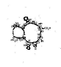 CC(C)C[C@@H]1NC(=O)[C@H](Cc2c[nH]cn2)NC(=O)[C@H](Cc2c[nH]c3ccccc23)NC(=O)[C@H](C)NC(=O)[C@@H]2CSSC[C@H](NC(=O)[C@H](Cc3c[nH]c4ccccc34)NC(=O)C(C(C)C)NC(=O)[C@H](CC(C)C)NC(=O)[C@H](CCC(=O)O)NC(=O)CNC1=O)C(=O)NC([C@@H](C)O)C(=O)N[C@H](C(=O)C(C)(C)C)CSSCCC(=O)N[C@@H](CC(=O)O)C(=O)N2